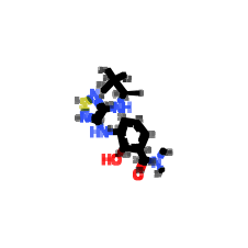 C[C@@H](Nc1nsnc1Nc1cccc(C(=O)N(C)C)c1O)C(C)(C)C